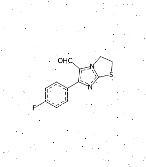 O=Cc1c(-c2ccc(F)cc2)nc2n1CCS2